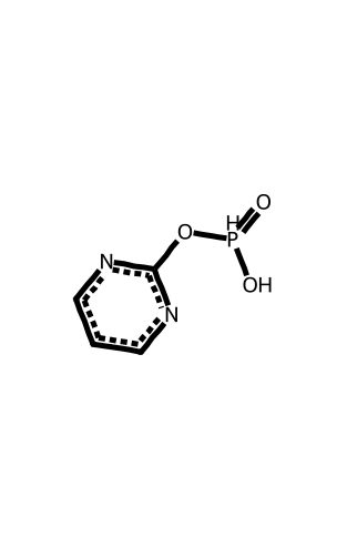 O=[PH](O)Oc1ncccn1